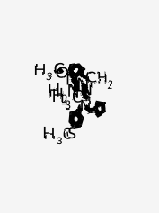 C=C1c2cccc(OC)c2N=C(N)N1/N=C(\C)CN(Cc1ccc(SC)cc1)CC1CCCC1